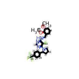 COc1cccc(CNc2ncnc(N3CCCC3c3ccc(C(F)(F)F)cc3)c2F)c1OC